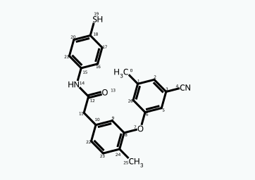 Cc1cc(C#N)cc(Oc2cc(CC(=O)Nc3ccc(S)cc3)ccc2C)c1